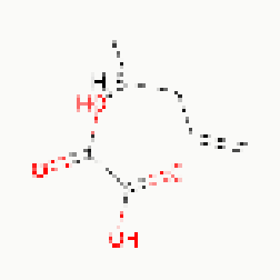 C=CC[SiH2]C.O=C(O)C(=O)O